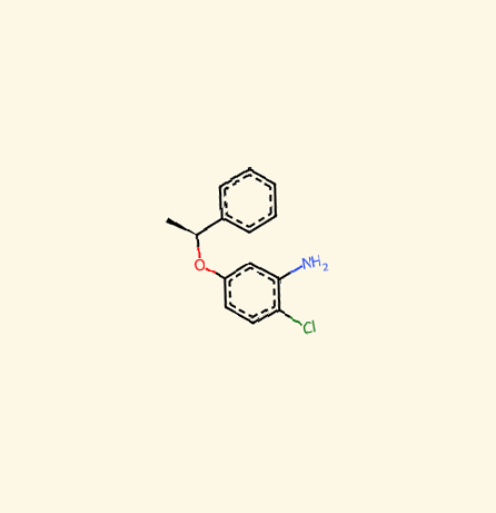 C[C@H](Oc1ccc(Cl)c(N)c1)c1ccccc1